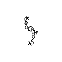 CC(C)(C)OCCOCC(F)(F)CN1CCC(OC2CC(OC(C)(C)C)C2)CC1